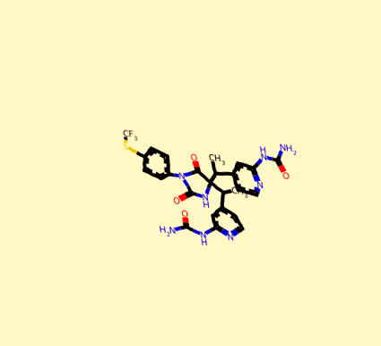 CC(c1ccnc(NC(N)=O)c1)C1(C(C)c2ccnc(NC(N)=O)c2)NC(=O)N(c2ccc(SC(F)(F)F)cc2)C1=O